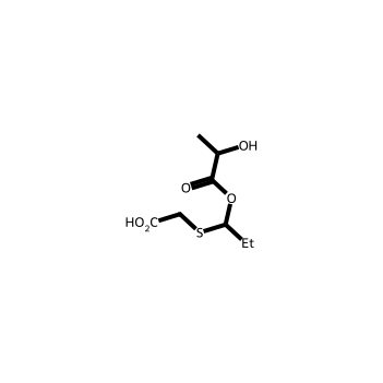 CCC(OC(=O)C(C)O)SCC(=O)O